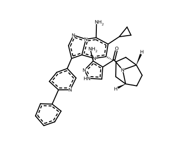 Nc1n[nH]cc1C(=O)N1[C@@H]2CC[C@H]1C[C@@H](c1nc3c(-c4ccc(-c5ccccc5)nc4)cnn3c(N)c1C1CC1)C2